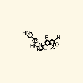 CC(C)n1c(=O)c(C#N)cc2c(F)cc(-c3nc(Nc4nc(C5CCNCC5)cs4)ncc3F)cc21